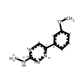 COc1cccc(-c2cnc(NN)nn2)c1